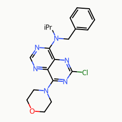 CC(C)N(Cc1ccccc1)c1ncnc2c(N3CCOCC3)nc(Cl)nc12